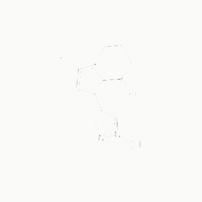 Cn1cc(-c2sc(Cl)c3c2C(=O)CCC3)cn1